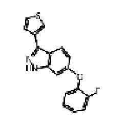 Fc1ccccc1Oc1ccc2c(-c3ccsc3)n[nH]c2c1